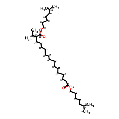 CC(C)CCCCCOC(=O)CCCCCCCCCCCCCCC(C(=O)OCCCCCC(C)C)C(C)C